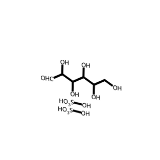 O=CC(O)C(O)C(O)C(O)CO.O=S(=O)(O)O.O=S(=O)(O)O